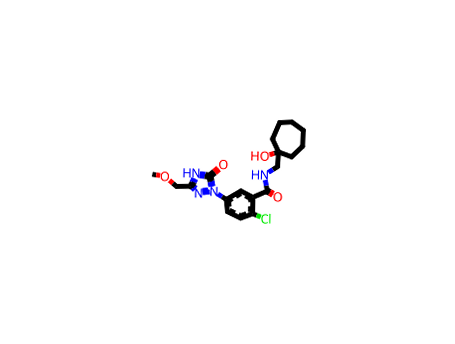 COCc1nn(-c2ccc(Cl)c(C(=O)NCC3(O)CCCCCC3)c2)c(=O)[nH]1